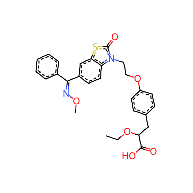 CCOC(Cc1ccc(OCCn2c(=O)sc3cc(/C(=N\OC)c4ccccc4)ccc32)cc1)C(=O)O